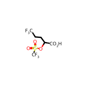 O=C(O)C(CCC(F)(F)F)OS(=O)(=O)C(F)(F)F